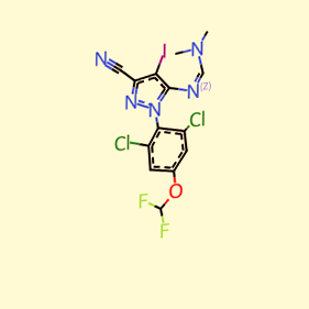 CN(C)/C=N\c1c(I)c(C#N)nn1-c1c(Cl)cc(OC(F)F)cc1Cl